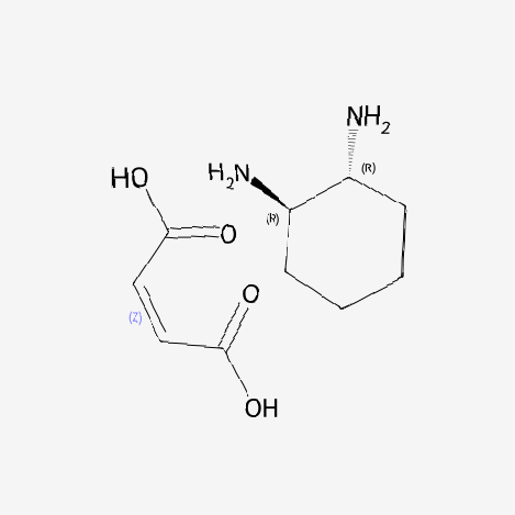 N[C@@H]1CCCC[C@H]1N.O=C(O)/C=C\C(=O)O